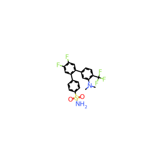 CN(C)c1cc(-c2cc(F)c(F)cc2-c2ccc(S(N)(=O)=O)cc2)ccc1C(F)(F)F